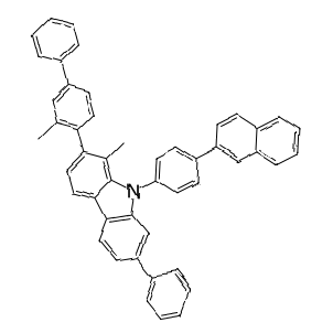 Cc1cc(-c2ccccc2)ccc1-c1ccc2c3ccc(-c4ccccc4)cc3n(-c3ccc(-c4ccc5ccccc5c4)cc3)c2c1C